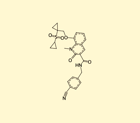 Cn1c(=O)c(C(=O)NCc2ccc(C#N)cc2)cc2cccc(OCC3(S(=O)(=O)C4CC4)CC3)c21